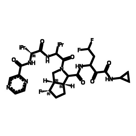 CC(C)C(NC(=O)[C@H](NC(=O)c1cnccn1)C(C)C)C(=O)N1C[C@H]2[C@H](CC[C@@H]2F)C1C(=O)NC(CC(F)F)C(=O)C(=O)NC1CC1